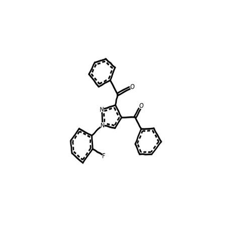 O=C(c1ccccc1)c1cn(-c2ccccc2F)nc1C(=O)c1ccccc1